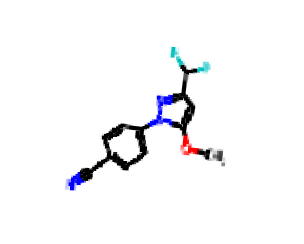 COc1cc(C(F)F)nn1-c1ccc(C#N)cc1